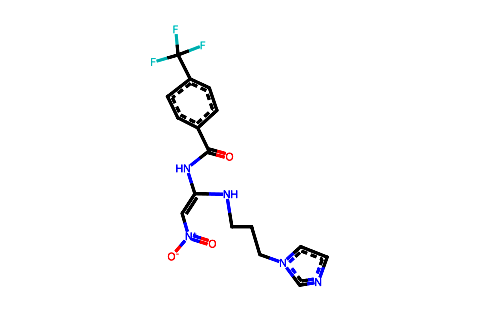 O=C(NC(=C[N+](=O)[O-])NCCCn1ccnc1)c1ccc(C(F)(F)F)cc1